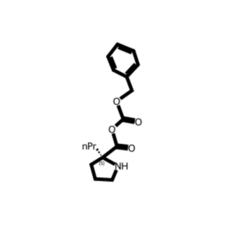 CCC[C@@]1(C(=O)OC(=O)OCc2ccccc2)CCCN1